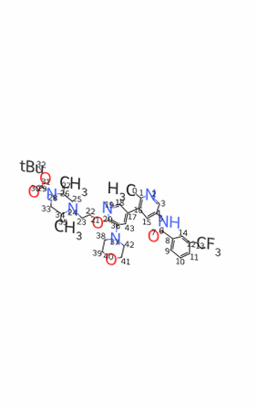 Cc1ncc(NC(=O)c2cccc(C(F)(F)F)c2)cc1-c1cnc(OCCN2CC(C)N(C(=O)OC(C)(C)C)CC2C)c(N2CCOCC2)c1